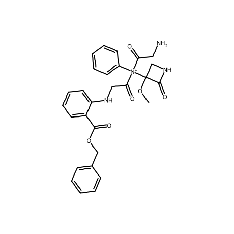 COC1([N+](C(=O)CN)(C(=O)CNc2ccccc2C(=O)OCc2ccccc2)c2ccccc2)CNC1=O